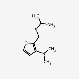 CC(N)SCc1occc1N(C)C